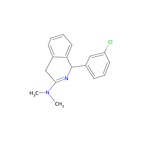 CN(C)C1=NC(c2cccc(Cl)c2)c2ccccc2C1